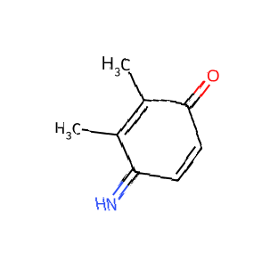 CC1=C(C)C(=O)C=CC1=N